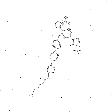 CCCCCCCOc1ccc(-c2cnc(-c3ccc(C[C@H](NC(=O)c4cnn(C(C)(C)C)c4C)C(O)N4CCC[C@H]4C(=O)O)cc3)nc2)cc1